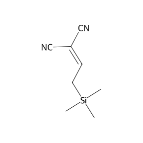 C[Si](C)(C)CC=C(C#N)C#N